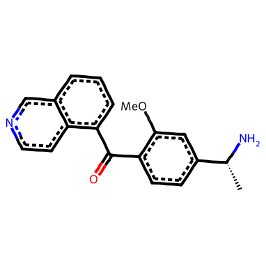 COc1cc([C@@H](C)N)ccc1C(=O)c1cccc2cnccc12